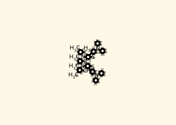 Cc1cc(C)c(N2c3cc4c(cc3B3c5cc6sc7cc(N(c8ccccc8)c8ccccc8)ccc7c6cc5N(c5c(C)cc(C)cc5C)c5cccc2c53)sc2cc(N(c3ccccc3)c3ccccc3)ccc24)c(C)c1